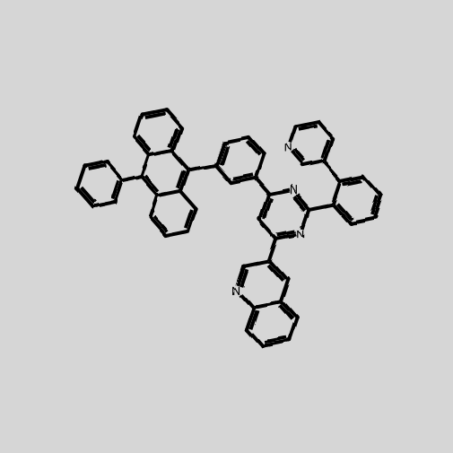 c1ccc(-c2c3ccccc3c(-c3cccc(-c4cc(-c5cnc6ccccc6c5)nc(-c5ccccc5-c5cccnc5)n4)c3)c3ccccc23)cc1